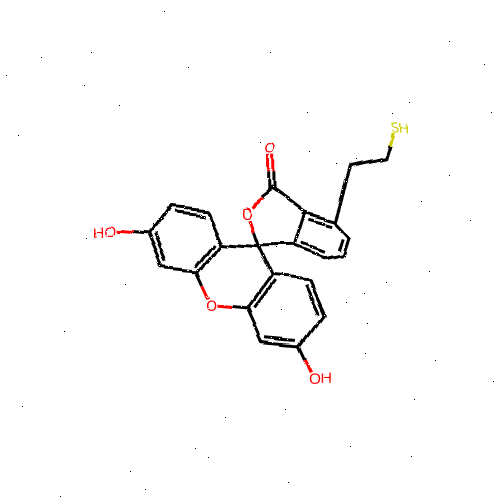 O=C1OC2(c3ccc(O)cc3Oc3cc(O)ccc32)c2cccc(CCS)c21